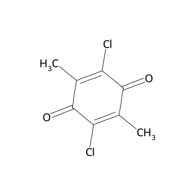 CC1=C(Cl)C(=O)C(C)=C(Cl)C1=O